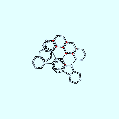 c1ccc(-c2ccccc2-c2c(-c3ccccc3)cccc2N(c2ccccc2-n2c3ccccc3c3ccccc32)c2cccc3oc4ccccc4c23)cc1